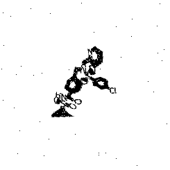 O=C(NS(=O)(=O)C1CC1)c1ccc(CN(Cc2ccccn2)S(=O)(=O)c2ccc(Cl)cc2)cc1